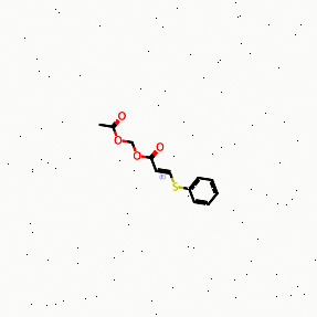 CC(=O)OCOC(=O)/C=C/Sc1ccccc1